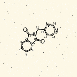 O=C1c2ccccc2C(=O)N1Cc1ccncn1